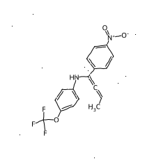 CC=C=C(Nc1ccc(OC(F)(F)F)cc1)c1ccc([N+](=O)[O-])cc1